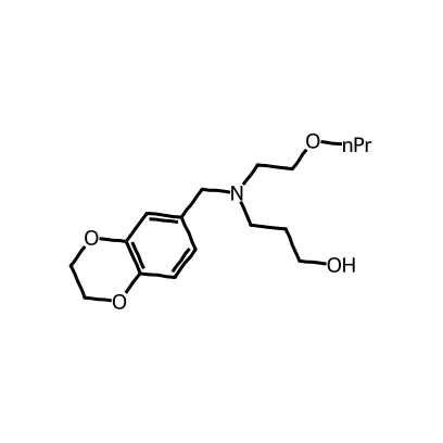 CCCOCCN(CCCO)Cc1ccc2c(c1)OCCO2